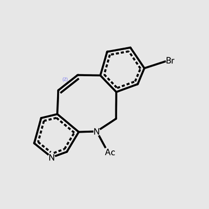 CC(=O)N1Cc2cc(Br)ccc2/C=C\c2ccncc21